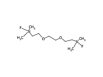 C[Si](C)(F)CCOCCOCC[Si](C)(C)F